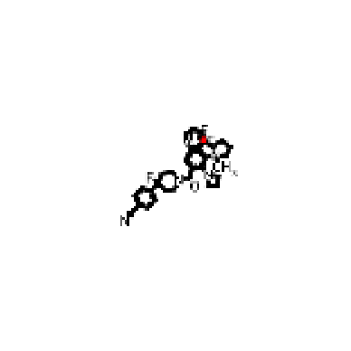 C[N+]1(c2c(C(F)(F)F)ccc(C(=O)N3CCC(F)(c4ccc(C#N)cc4)CC3)c2N2CCC2)CCCC1c1cccnc1